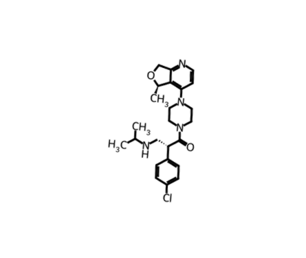 CC(C)NC[C@H](C(=O)N1CCN(c2ccnc3c2[C@@H](C)OC3)CC1)c1ccc(Cl)cc1